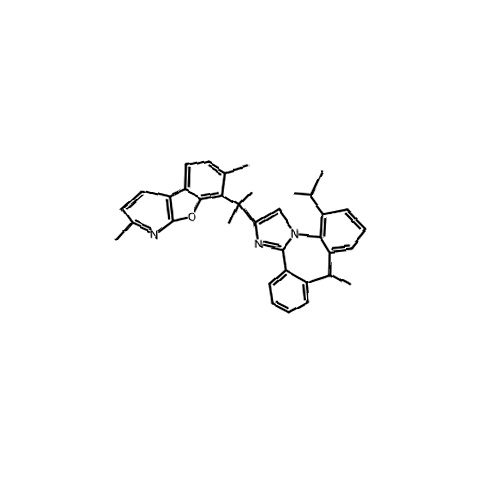 Cc1ccc2c(n1)oc1c(C(C)(C)c3cn4c(n3)-c3ccccc3C(C)c3cccc(C(C)C)c3-4)c(C)ccc12